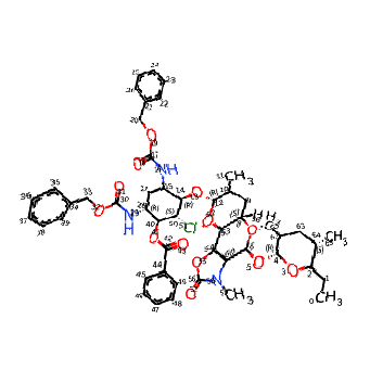 CCC1O[C@H](OC2O[C@H]3CC(C)[C@@H](O[C@@H]4C(NC(=O)OCc5ccccc5)C[C@@H](NC(=O)OCc5ccccc5)C(OC(=O)c5ccccc5)[C@H]4Cl)OC3C3OC(=O)N(C)C23)C(C)C[C@@H]1C